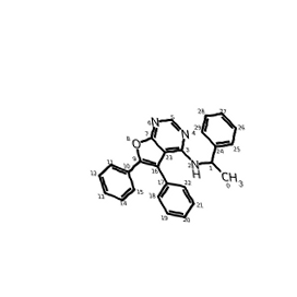 CC(Nc1ncnc2oc(-c3ccccc3)c(-c3ccccc3)c12)c1ccccc1